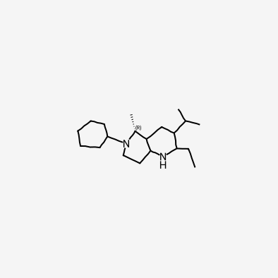 CCC1NC2CCN(C3CCCCC3)[C@H](C)C2CC1C(C)C